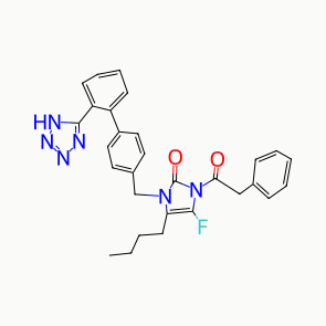 CCCCc1c(F)n(C(=O)Cc2ccccc2)c(=O)n1Cc1ccc(-c2ccccc2-c2nnn[nH]2)cc1